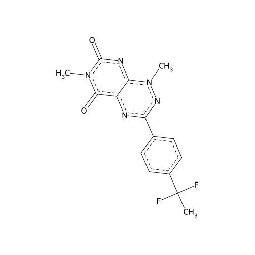 Cn1nc(-c2ccc(C(C)(F)F)cc2)nc2c(=O)n(C)c(=O)nc1-2